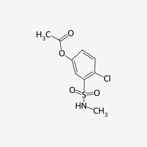 CNS(=O)(=O)c1cc(OC(C)=O)ccc1Cl